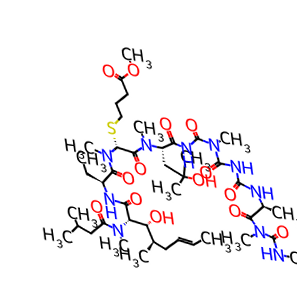 C/C=C/C[C@@H](C)[C@@H](O)[C@@H](C(=O)N[C@@H](CC)C(=O)N(C)[C@H](SCCCC(=O)OC)C(=O)N(C)[C@@H](CC(C)(C)O)C(=O)NC(=O)N(C)C(=O)NC(=O)N[C@@H](C)C(=O)N(C)C(=O)NC)N(C)C(=O)CC(C)C